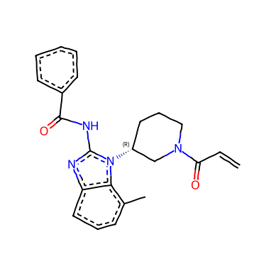 C=CC(=O)N1CCC[C@@H](n2c(NC(=O)c3ccccc3)nc3cccc(C)c32)C1